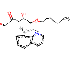 C=C.CCCCOCC(O)CC(=O)C=O.c1ccc2ncccc2c1